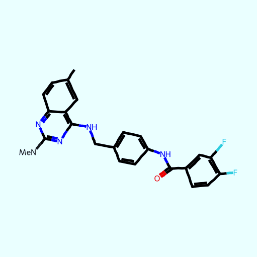 CNc1nc(NCc2ccc(NC(=O)c3ccc(F)c(F)c3)cc2)c2cc(C)ccc2n1